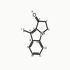 O=C1CCn2c1c(I)c1ccccc12